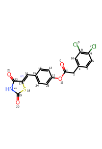 O=C(Cc1ccc(Cl)c(Cl)c1)Oc1ccc(/C=C2\SC(=O)NC2=O)cc1